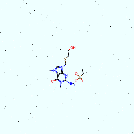 CCS(=O)(=O)[O-].Cn1c(N)nc2c(c1=O)n(C)c[n+]2CSCCO